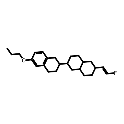 CCCOc1ccc2c(c1)CCC(C1CCC3CC(C=CF)CCC3C1)C2